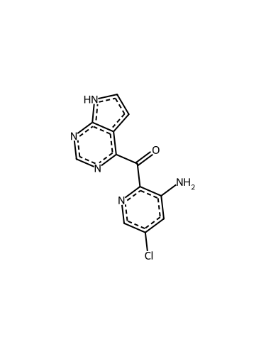 Nc1cc(Cl)cnc1C(=O)c1ncnc2[nH]ccc12